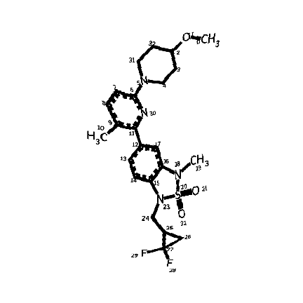 COC1CCN(c2ccc(C)c(-c3ccc4c(c3)N(C)S(=O)(=O)N4CC3CC3(F)F)n2)CC1